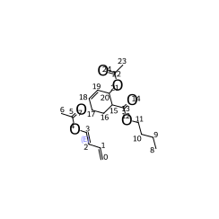 C=C/C=C/OC(C)=O.CCCCOC(=O)C1CCC=CC1OC(C)=O